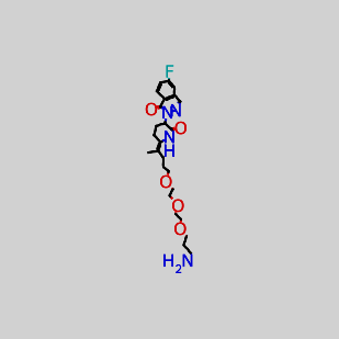 C/C(CCCOCCOCCOCCCN)=C1\CCC(n2ncc3cc(F)ccc3c2=O)C(=O)N1